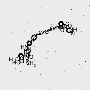 C=CCn1c(=O)c2cnc(Nc3ccc(N4CCN(CCOCCOCCOCCNc5cccc6c5C(=O)N(C5CCC(=O)NC5=O)C6=O)CC4)cc3)nc2n1-c1cccc(C(C)(C)O)n1